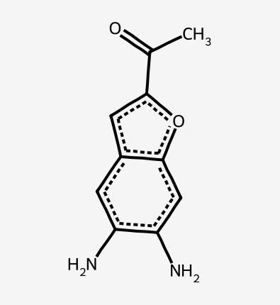 CC(=O)c1cc2cc(N)c(N)cc2o1